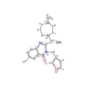 CCC[C@H](c1nc2ccc(F)cc2c(=O)n1Cc1ccoc1)N1CCCN(C)CC1